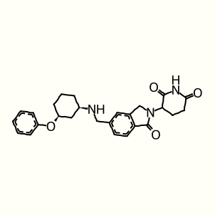 O=C1CCC(N2Cc3cc(CN[C@@H]4CCC[C@H](Oc5ccccc5)C4)ccc3C2=O)C(=O)N1